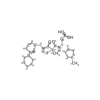 Cc1ccc(C[C@H](NC(=O)[C@](C)(F)C(=O)NCc2cccc(-c3ccccc3)n2)OB(O)O)cc1